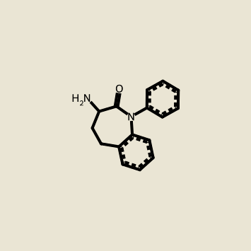 NC1CCc2ccccc2N(c2ccccc2)C1=O